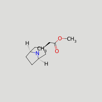 COC(=O)C[C@H]1C[C@H]2CC[C@@H](C1)N2C